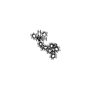 C1=CCC(C2NC(c3ccccc3)=NC(c3ccc4sc5ccc(-c6ccc7oc8cccc(-n9c%10c(c%11ccccc%119)C=CCC%10)c8c7c6)cc5c4c3)N2)C=C1